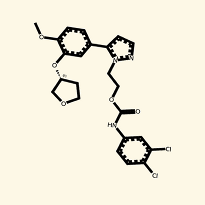 COc1ccc(-c2ccnn2CCOC(=O)Nc2ccc(Cl)c(Cl)c2)cc1O[C@@H]1CCOC1